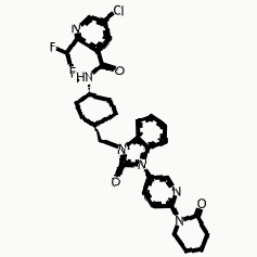 O=C(N[C@H]1CC[C@H](Cn2c(=O)n(-c3ccc(N4CCCCC4=O)nc3)c3ccccc32)CC1)c1cc(Cl)cnc1C(F)F